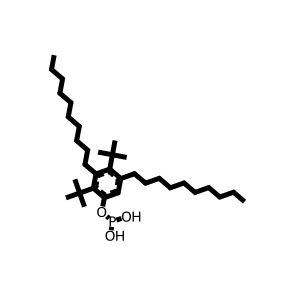 CCCCCCCCCCc1cc(OP(O)O)c(C(C)(C)C)c(CCCCCCCCCC)c1C(C)(C)C